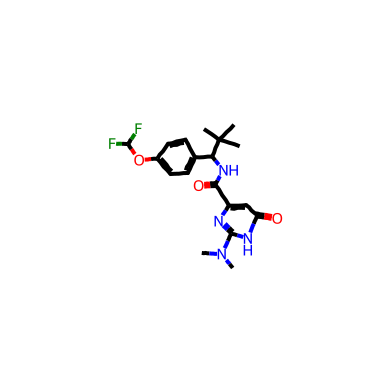 CN(C)c1nc(C(=O)NC(c2ccc(OC(F)F)cc2)C(C)(C)C)cc(=O)[nH]1